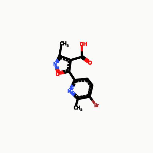 Cc1nc(-c2onc(C)c2C(=O)O)ccc1Br